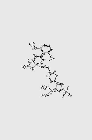 COc1ncnc(C2CC2)c1-c1nc(NCc2ccc(-c3nc(C(F)(F)F)cn3C(C)C)cc2)c2[nH]c(C)nc2n1